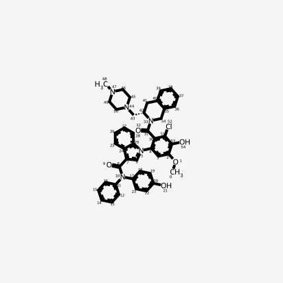 COc1cc(-n2cc(C(=O)N(c3ccccc3)c3ccc(O)cc3)c3ccccc32)c(C(=O)N2Cc3ccccc3C[C@H]2CN2CCN(C)CC2)c(Cl)c1O